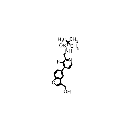 CC(C)(C)[S+]([O-])NCc1nccc(-c2ccc3occ(CO)c3c2)c1F